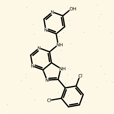 Oc1cc(Nc2ncnc3nc(-c4c(Cl)cccc4Cl)[nH]c23)ncn1